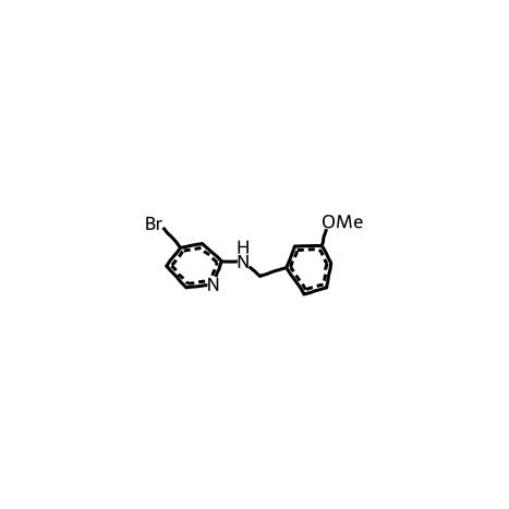 COc1cccc(CNc2cc(Br)ccn2)c1